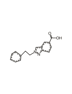 O=C(O)c1ccc2nn(CCc3ccccc3)cc2c1